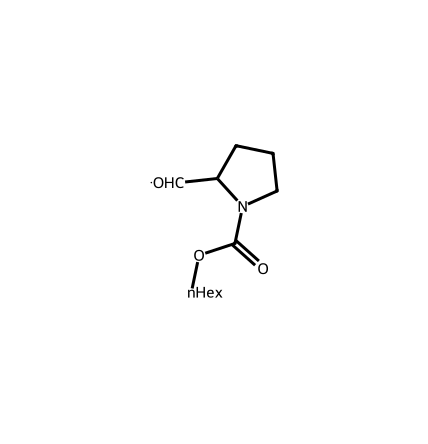 CCCCCCOC(=O)N1CCCC1[C]=O